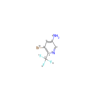 Nc1cnc(C(F)(F)F)c(Br)c1